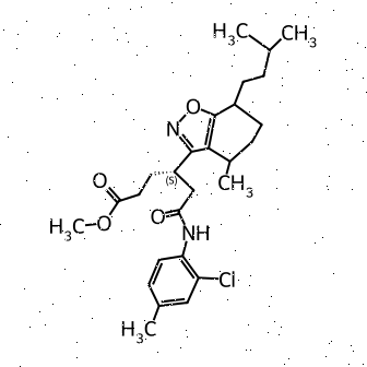 COC(=O)CC[C@@H](CC(=O)Nc1ccc(C)cc1Cl)c1noc2c1C(C)CCC2CCC(C)C